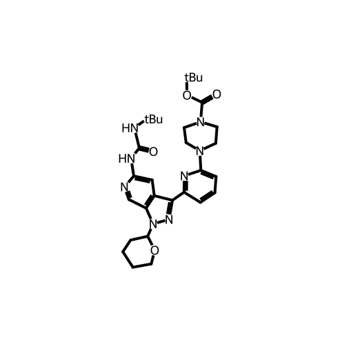 CC(C)(C)NC(=O)Nc1cc2c(-c3cccc(N4CCN(C(=O)OC(C)(C)C)CC4)n3)nn(C3CCCCO3)c2cn1